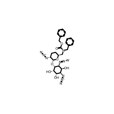 [N-]=[N+]=N[C@H]1[C@H](O)[C@H](O)[C@H](O[C@H]2O[C@H](CN(Cc3ccccc3)C(=O)OCc3ccccc3)CC[C@H]2N=[N+]=[N-])[C@@H](N=[N+]=[N-])[C@H]1O